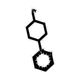 CC(C)C1CCC([n+]2ccccn2)CC1